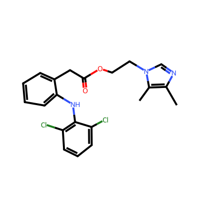 Cc1ncn(CCOC(=O)Cc2ccccc2Nc2c(Cl)cccc2Cl)c1C